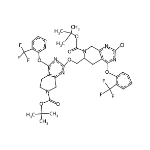 CC(C)(C)OC(=O)N1CCc2c(nc(OCC3Cc4c(nc(Cl)nc4Oc4ccccc4C(F)(F)F)CN3C(=O)OC(C)(C)C)nc2Oc2ccccc2C(F)(F)F)C1